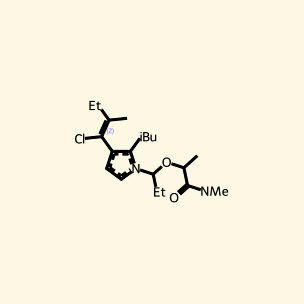 CC/C(C)=C(\Cl)c1ccn(C(CC)OC(C)C(=O)NC)c1C(C)CC